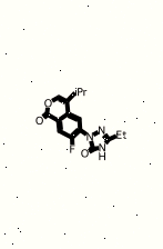 CCc1nn(-c2cc3c(C(C)C)coc(=O)c3cc2F)c(=O)[nH]1